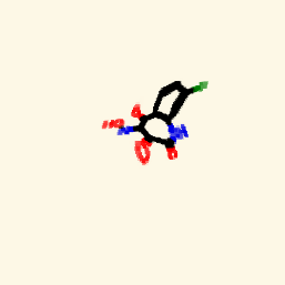 O=C1Nc2cc(F)ccc2C(=O)C(=NO)C1=O